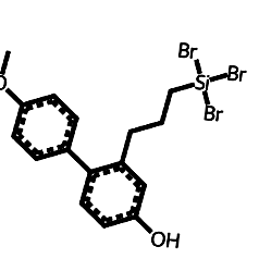 COc1ccc(-c2ccc(O)cc2CCC[Si](Br)(Br)Br)cc1